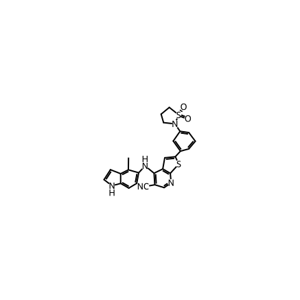 Cc1c(Nc2c(C#N)cnc3sc(-c4cccc(N5CCCS5(=O)=O)c4)cc23)ccc2[nH]ccc12